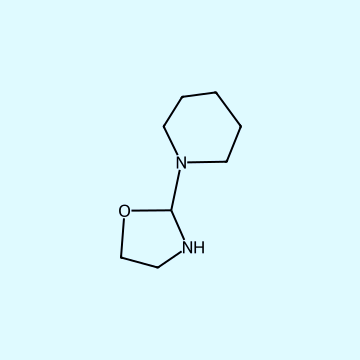 C1CCN(C2NCCO2)CC1